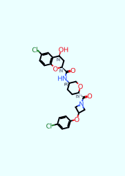 O=C(N[C@@H]1CC[C@@H](C(=O)N2CC(Oc3ccc(Cl)cc3)C2)OC1)[C@@H]1C[C@H](O)c2cc(Cl)ccc2O1